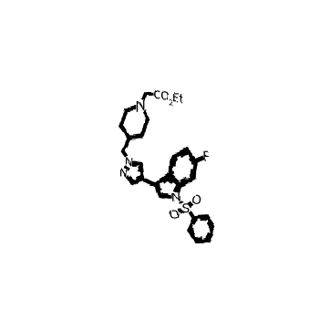 CCOC(=O)CN1CCC(Cn2cc(-c3cn(S(=O)(=O)c4ccccc4)c4cc(F)ccc34)cn2)CC1